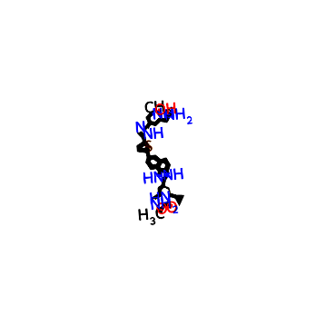 COC(=O)N[C@H](C[C@@H](CCCN)C1Nc2ccc3cc(-c4ccc(-c5cnc(C(CCCN)C[C@H](C)NO)[nH]5)s4)ccc3c2N1)C1CC1